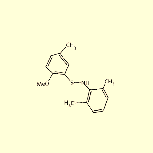 COc1ccc(C)cc1SNc1c(C)cccc1C